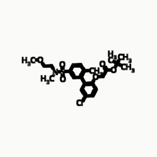 COCCN(C)S(=O)(=O)c1ccc(C)c(-c2cc(Cl)ccc2OCC(=O)OC(C)(C)C)c1